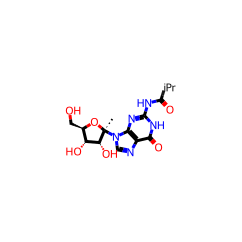 CC(C)C(=O)Nc1nc2c(ncn2[C@]2(C)O[C@H](CO)[C@@H](O)[C@H]2O)c(=O)[nH]1